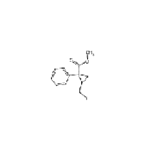 COC(=O)C1(c2ccccc2)CC1CI